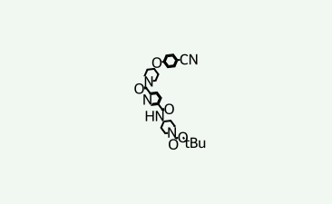 CC(C)(C)OC(=O)N1CCC(NC(=O)c2ccc(C(=O)N3CCC(Oc4ccc(C#N)cc4)CC3)nc2)CC1